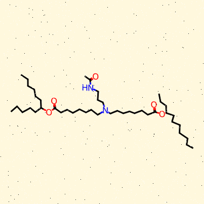 CCCCCCCC(CCC)OC(=O)CCCCCCCN(CCCCCCCC(=O)OC(CCCCC)CCCCCC)CCCNC(C)=O